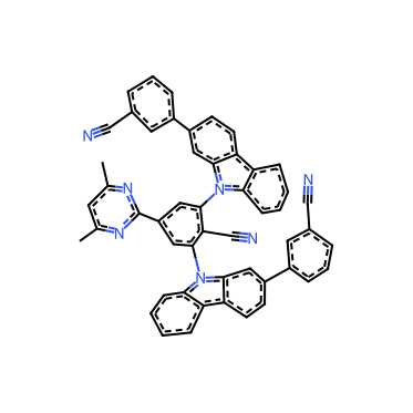 Cc1cc(C)nc(-c2cc(-n3c4ccccc4c4ccc(-c5cccc(C#N)c5)cc43)c(C#N)c(-n3c4ccccc4c4ccc(-c5cccc(C#N)c5)cc43)c2)n1